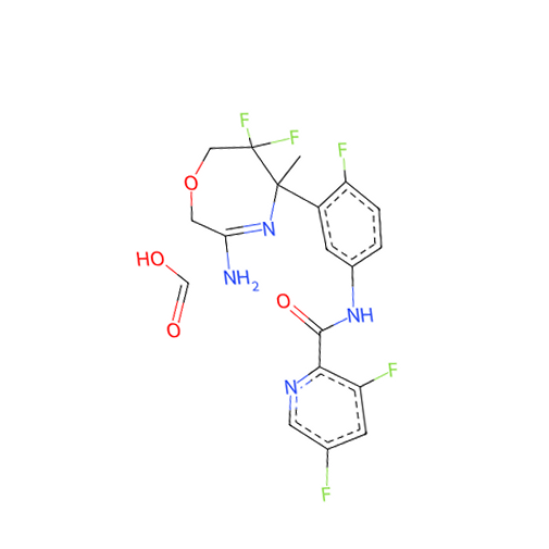 CC1(c2cc(NC(=O)c3ncc(F)cc3F)ccc2F)N=C(N)COCC1(F)F.O=CO